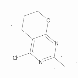 Cc1nc(Cl)c2c(n1)OCCC2